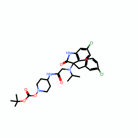 CC(C)N(CC(=O)NC1CCN(OC(=O)OC(C)(C)C)CC1)C1(Cc2cccc(Cl)c2)C(=O)Nc2cc(Cl)ccc21